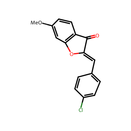 COc1ccc2c(c1)O/C(=C\c1ccc(Cl)cc1)C2=O